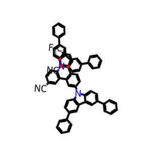 N#Cc1ccc(-n2c3ccc(-c4ccccc4)cc3c3cc(-c4ccccc4)ccc32)c(-c2cc(-n3c4ccc(-c5ccccc5)cc4c4cc(-c5ccccc5)ccc43)ccc2-c2ccc(C(F)(F)F)cc2C#N)c1